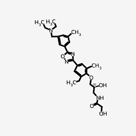 CCc1cc(-c2noc(-c3cc(C)cc(CN(CC)CC)c3)n2)cc(C)c1OC[C@@H](O)CNC(=O)CO